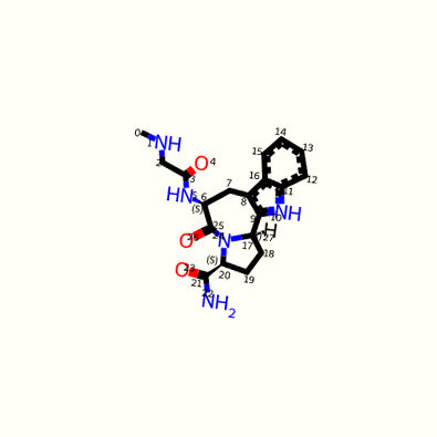 CNCC(=O)N[C@H]1Cc2c([nH]c3ccccc23)[C@H]2CC[C@@H](C(N)=O)N2C1=O